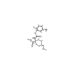 COC[C@H]1CC[C@](NC(=O)Cc2cc(Br)ccc2C)(C(=O)OC)CC1